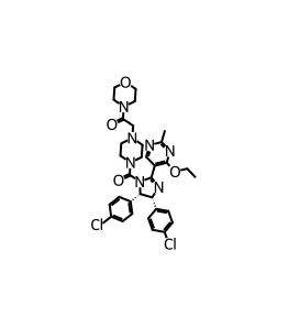 CCOc1nc(C)ncc1C1=N[C@H](c2ccc(Cl)cc2)[C@H](c2ccc(Cl)cc2)N1C(=O)N1CCN(CC(=O)N2CCOCC2)CC1